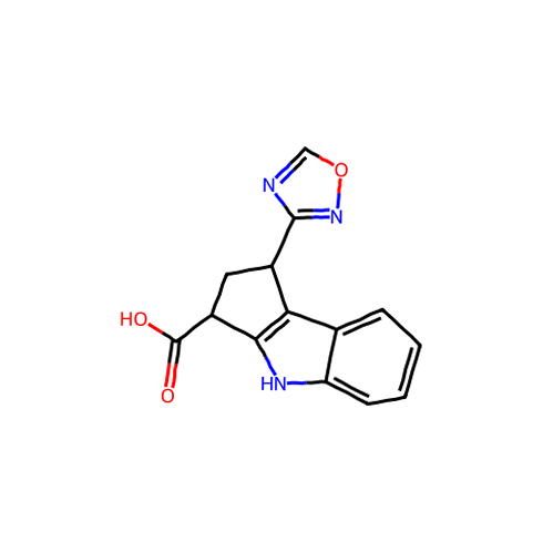 O=C(O)C1CC(c2ncon2)c2c1[nH]c1ccccc21